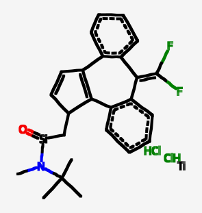 CN([Si](=O)CC1C=CC2=C1c1ccccc1C(=C(F)F)c1ccccc12)C(C)(C)C.Cl.Cl.[Ti]